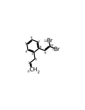 C=CCc1ccccc1C=C(Br)Br